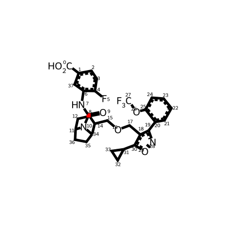 O=C(O)c1ccc(F)c(NC(=O)N2C3CCC(COCc4c(-c5ccccc5OC(F)(F)F)noc4C4CC4)C2CC3)c1